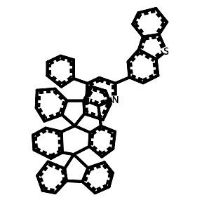 c1ccc(-c2cc(-c3ccc4sc5ccccc5c4c3)nc(-c3cccc4c3C3(c5ccccc5-c5ccccc53)c3ccccc3C43c4ccccc4-c4ccccc43)n2)cc1